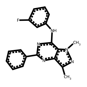 Cc1nn(C)c2c(Nc3cccc(F)c3)nc(-c3ccccc3)nc12